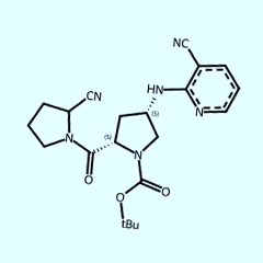 CC(C)(C)OC(=O)N1C[C@@H](Nc2ncccc2C#N)C[C@H]1C(=O)N1CCCC1C#N